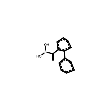 C=C(B(O)O)c1ccccc1-c1ccccc1